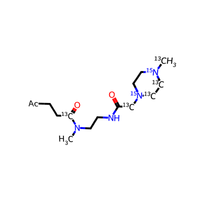 C[13C](=O)CC[13C](=O)N(C)CCNC(=O)[13CH2][15N]1CC[15N]([13CH3])[13CH2][13CH2]1